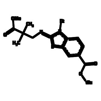 CCn1/c(=N/CC(C)(C)C(=O)OC)sc2cc(C(=O)OC(C)(C)C)ccc21